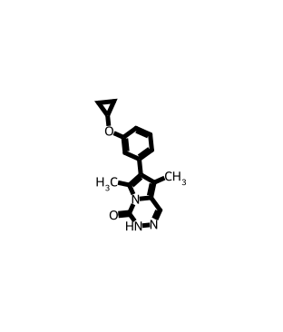 Cc1c(-c2cccc(OC3CC3)c2)c(C)n2c(=O)[nH]ncc12